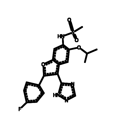 CC(C)Oc1cc2c(-c3ncn[nH]3)c(-c3ccc(F)cc3)oc2cc1NS(C)(=O)=O